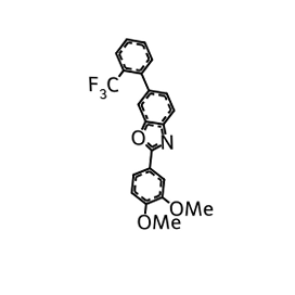 COc1ccc(-c2nc3ccc(-c4ccccc4C(F)(F)F)cc3o2)cc1OC